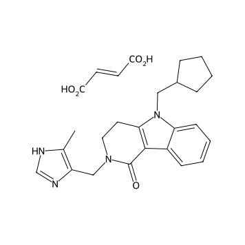 Cc1[nH]cnc1CN1CCc2c(c3ccccc3n2CC2CCCC2)C1=O.O=C(O)C=CC(=O)O